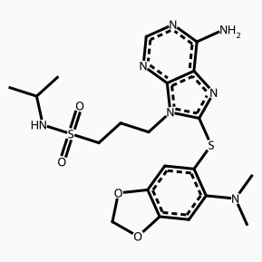 CC(C)NS(=O)(=O)CCCn1c(Sc2cc3c(cc2N(C)C)OCO3)nc2c(N)ncnc21